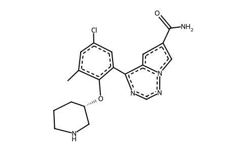 Cc1cc(Cl)cc(-c2ncnn3cc(C(N)=O)cc23)c1O[C@H]1CCCNC1